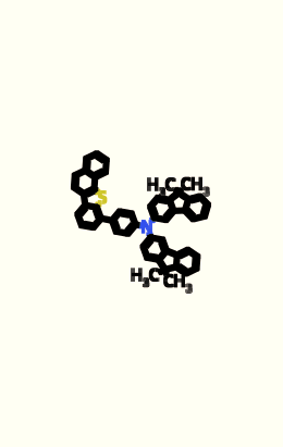 CC1(C)c2ccccc2-c2cc(N(c3ccc(-c4cccc5c4sc4c6ccccc6ccc54)cc3)c3ccc4c(c3)-c3ccccc3C4(C)C)ccc21